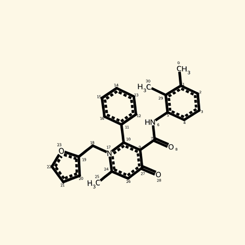 Cc1cccc(NC(=O)c2c(-c3ccccc3)n(Cc3ccco3)c(C)cc2=O)c1C